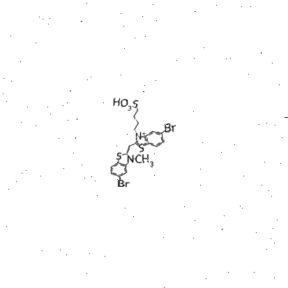 CN1C(=Cc2sc3ccc(Br)cc3[n+]2CCCCS(=O)(=O)O)Sc2ccc(Br)cc21